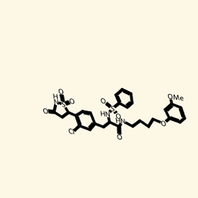 COc1cccc(OCCCCNC(=O)C(Cc2ccc(C3CC(=O)NS3(=O)=O)c(Cl)c2)NS(=O)(=O)c2ccccc2)c1